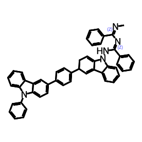 C/N=C(\N=C(/Nn1c2c(c3ccccc31)=CC(c1ccc(-c3ccc4c(c3)c3ccccc3n4-c3ccccc3)cc1)CC=2)c1ccccc1)c1ccccc1